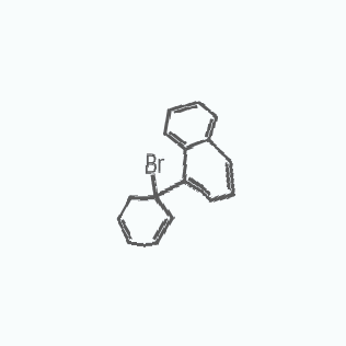 BrC1(c2cccc3ccccc23)C=CC=CC1